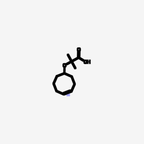 CC(C)(OC1CC/C=C\CCC1)C(=O)O